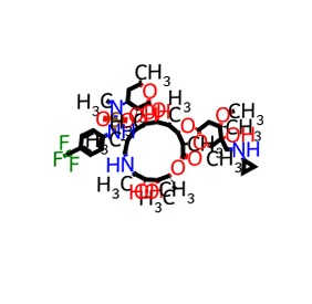 CC[C@H]1OC(=O)[C@H](C)[C@@H](O[C@H]2C[C@@](C)(OC)[C@](O)(CNC3CC3)[C@H](C)O2)[C@H](C)[C@@H](O[C@@H]2O[C@H](C)C[C@H](N(C)S(=O)(=O)Nc3ccc(C(F)(F)F)cc3)[C@H]2O)[C@](C)(O)C[C@@H](C)CN[C@H](C)[C@@H](O)[C@]1(C)O